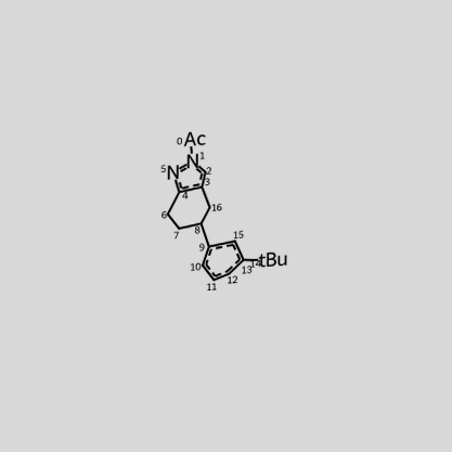 CC(=O)n1cc2c(n1)CCC(c1cccc(C(C)(C)C)c1)C2